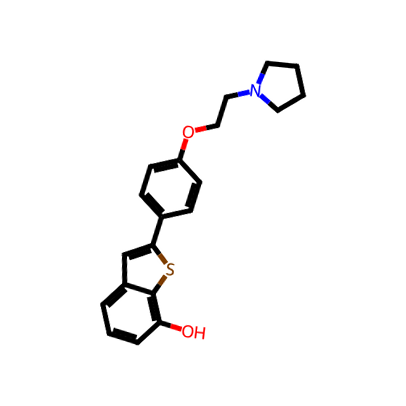 Oc1cccc2cc(-c3ccc(OCCN4CCCC4)cc3)sc12